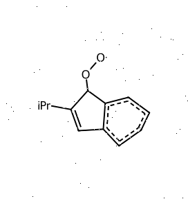 CC(C)C1=Cc2ccccc2C1O[O]